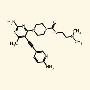 Cc1nc(N)nc(N2CCN(C(=O)NCCN(C)C)CC2)c1C#Cc1ccc(N)nc1